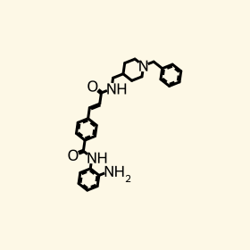 Nc1ccccc1NC(=O)c1ccc(C=CC(=O)NCC2CCN(Cc3ccccc3)CC2)cc1